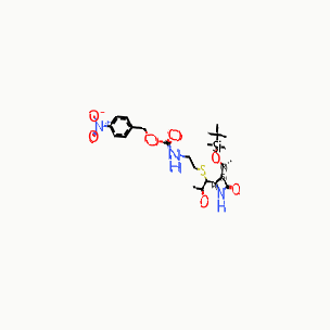 CC(=O)C(SCCNC(=O)OCc1ccc([N+](=O)[O-])cc1)[C@@H]1NC(=O)[C@@H]1[C@@H](C)O[Si](C)(C)C(C)(C)C